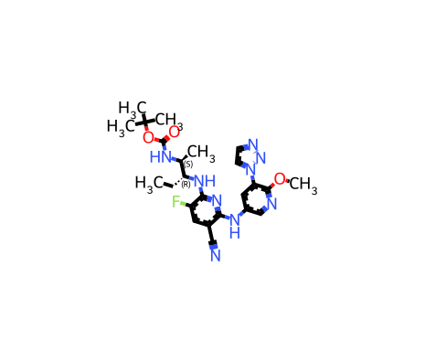 CC[C@@H](Nc1nc(Nc2cnc(OC)c(-n3ccnn3)c2)c(C#N)cc1F)[C@H](C)NC(=O)OC(C)(C)C